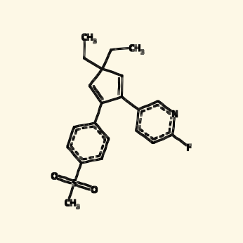 CCC1(CC)C=C(c2ccc(S(C)(=O)=O)cc2)C(c2ccc(F)nc2)=C1